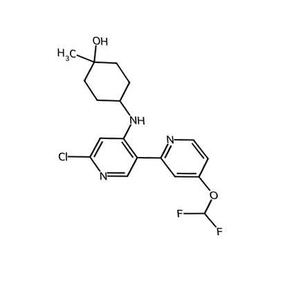 CC1(O)CCC(Nc2cc(Cl)ncc2-c2cc(OC(F)F)ccn2)CC1